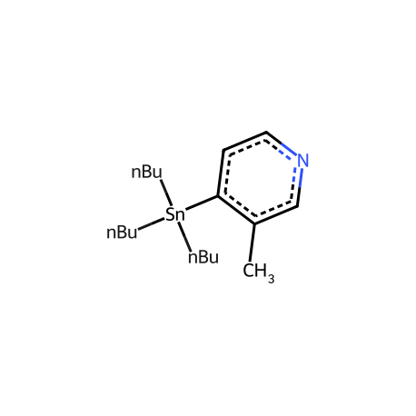 CCC[CH2][Sn]([CH2]CCC)([CH2]CCC)[c]1ccncc1C